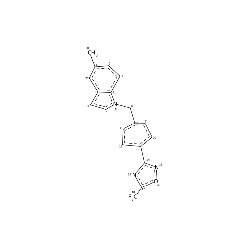 Cc1ccc2c(ccn2Cc2ccc(-c3noc(C(F)(F)F)n3)cc2)c1